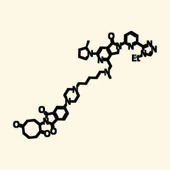 CCn1cnnc1-c1cccc(N2Cc3c(cc(N4CCC[C@H]4C)nc3CN(C)CCCCCN3CCN(c4ccc5c(c4)C(=O)N(C4CCC(=O)CCCC4=O)C5=O)CC3)C2=O)n1